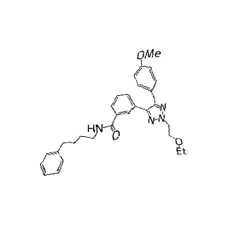 CCOCCn1nc(-c2ccc(OC)cc2)c(-c2cccc(C(=O)NCCCCc3ccccc3)c2)n1